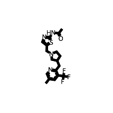 CC(=O)Nc1ncc(CN2CCC(Cc3ncc(C)cc3C(F)(F)F)C2)s1